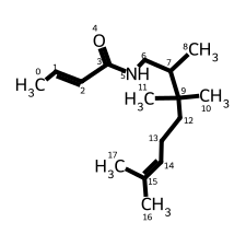 C/C=C/C(=O)NCC(C)C(C)(C)CCC=C(C)C